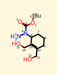 CC(C)(C)OC(=O)N(N)C1CCCC(CO)=C1CO